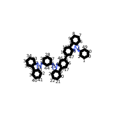 c1ccc(-n2c3ccccc3c3ccc(-c4ccc5c6ccccc6n(-c6cccc(-n7c8ccccc8c8ccccc87)c6)c5c4)cc32)cc1